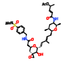 CNS(=O)(=O)c1ccc(CNC(=O)C[C@@H]2C[C@@]3(CO3)[C@H](O)[C@@H](/C=C/C(C)=C/C[C@@H]3O[C@H](C)[C@H](NC(=O)C=CC(C)OC(C)=O)C[C@@H]3C)O2)cc1